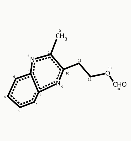 Cc1nc2ccccc2nc1CCOC=O